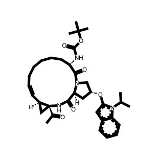 CC(=O)[C@@]12C[C@H]1/C=C\CCCCC[C@H](NC(=O)OC(C)(C)C)C(=O)N1C[C@H](Oc3cc4ccccc4n3C(C)C)C[C@H]1C(=O)N2